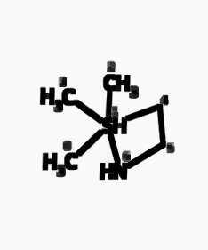 C[SH]1(C)(C)CCN1